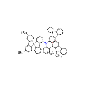 CC(C)(C)c1ccc2c(c1)-c1cc(C(C)(C)C)ccc1C21c2ccccc2-c2c(N(c3ccc4c(c3)C3(CCCC3)c3ccccc3-4)c3ccccc3-c3cccc4c3C(C)(C)c3ccccc3-4)cccc21